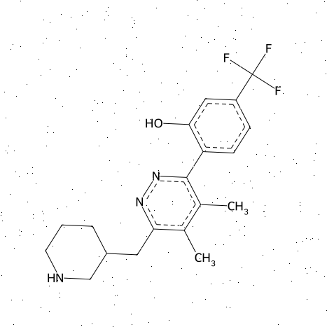 Cc1c(CC2CCCNC2)nnc(-c2ccc(C(F)(F)F)cc2O)c1C